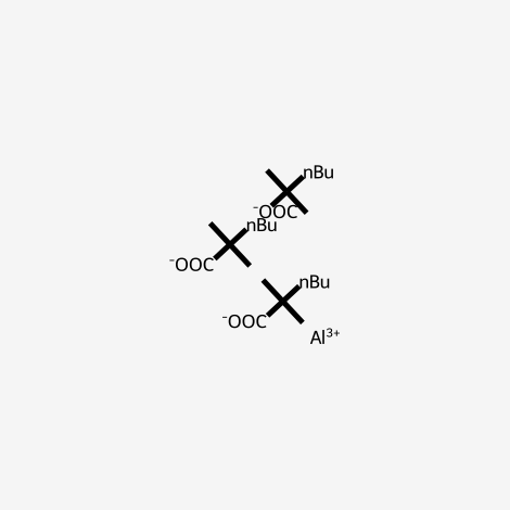 CCCCC(C)(C)C(=O)[O-].CCCCC(C)(C)C(=O)[O-].CCCCC(C)(C)C(=O)[O-].[Al+3]